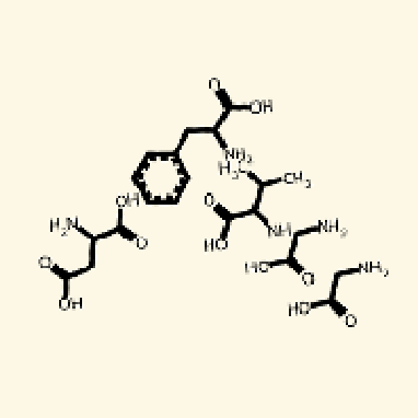 CC(C)C(N)C(=O)O.NC(CC(=O)O)C(=O)O.NC(Cc1ccccc1)C(=O)O.NCC(=O)O.NCC(=O)O